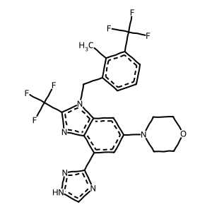 Cc1c(Cn2c(C(F)(F)F)nc3c(-c4nc[nH]n4)cc(N4CCOCC4)cc32)cccc1C(F)(F)F